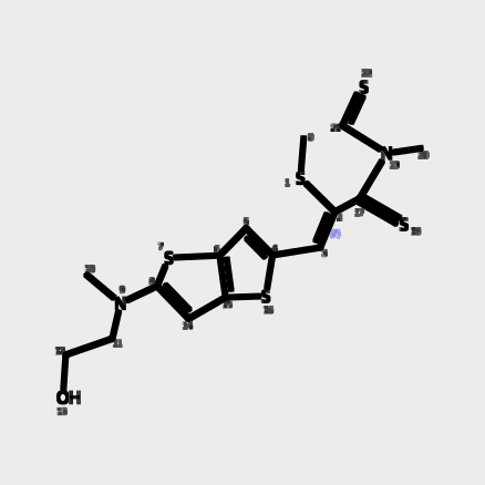 CS/C(=C\c1cc2sc(N(C)CCO)cc2s1)C(=S)N(C)C=S